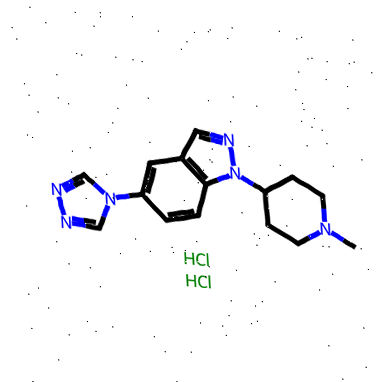 CN1CCC(n2ncc3cc(-n4cnnc4)ccc32)CC1.Cl.Cl